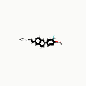 O=CCCC1CCC2CC(c3ccc(OC(F)(F)F)c(F)c3)CCC2C1